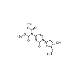 CC(C)(C)OC(=O)N(C(=O)OC(C)(C)C)c1ccn([C@H]2C[C@H](O)C(CO)O2)c(=O)n1